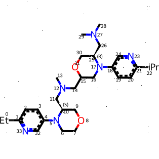 CCc1ccc(N2CCOC[C@@H]2CN(C)CC2CN(c3ccc(C(C)C)nc3)[C@H](CN(C)C)CO2)cn1